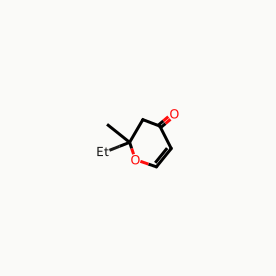 CCC1(C)CC(=O)C=CO1